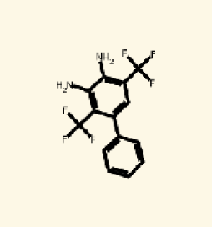 Nc1c(C(F)(F)F)cc(-c2ccccc2)c(C(F)(F)F)c1N